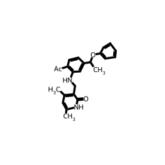 CC(=O)c1ccc(C(C)Oc2ccccc2)cc1NCc1c(C)cc(C)[nH]c1=O